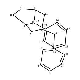 c1ccc(CC2CC3CCC(C2)N3c2ccccc2)cc1